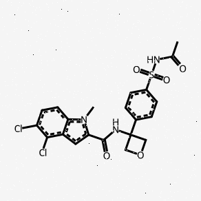 CC(=O)NS(=O)(=O)c1ccc(C2(NC(=O)c3cc4c(Cl)c(Cl)ccc4n3C)COC2)cc1